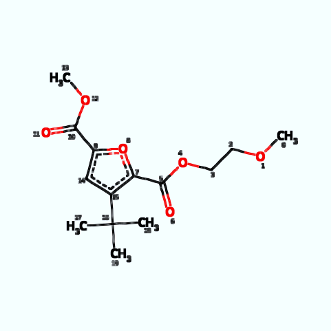 COCCOC(=O)c1oc(C(=O)OC)cc1C(C)(C)C